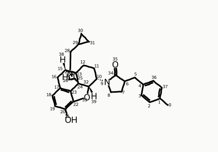 Cc1ccc(CC2CCN([C@H]3CC[C@@]4(O)[C@H]5Cc6ccc(O)c7c6[C@@]4(CCN5CC4CC4)[C@H]3O7)C2=O)cc1